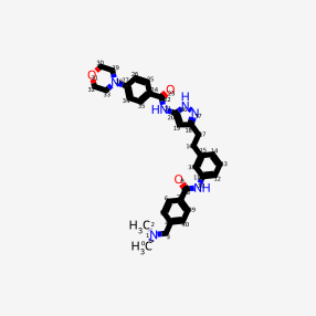 CN(C)Cc1ccc(C(=O)Nc2cccc(CCc3cc(NC(=O)c4ccc(N5CCOCC5)cc4)[nH]n3)c2)cc1